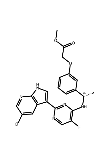 COC(=O)COc1cccc([C@H](C)Nc2nc(-c3c[nH]c4ncc(Cl)cc34)ncc2F)c1